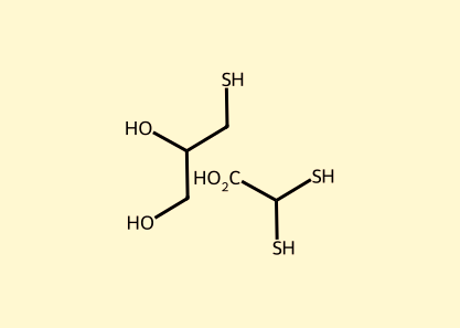 O=C(O)C(S)S.OCC(O)CS